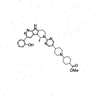 COC(=O)C1CCC(N2CCC(c3cnc(N4CCc5[nH]c6nnc(-c7ccccc7O)cc6c5[C@@H]4C)nc3)CC2)CC1